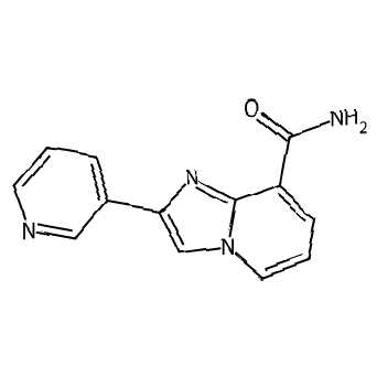 NC(=O)c1cccn2cc(-c3cccnc3)nc12